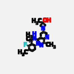 Cc1cccc([C@@H](C)Nc2nnc(C)c3ncc(N4CC(C)(O)C4)cc23)c1F